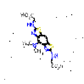 CN(C)c1c2nc(NCC(=O)O)sc2cc2sc(NCC(=O)O)nc12